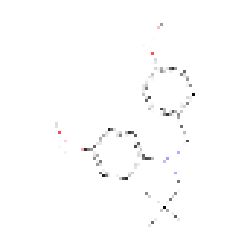 COc1ccc(CN(CC(C)(C)C)c2ccc(OC)cc2)cc1